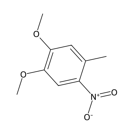 COc1cc(C)c([N+](=O)[O-])cc1OC